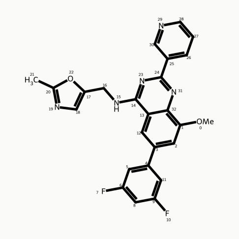 COc1cc(-c2cc(F)cc(F)c2)cc2c(NCc3cnc(C)o3)nc(-c3cccnc3)nc12